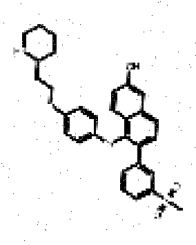 CS(=O)(=O)c1cccc(-c2ccc3cc(O)ccc3c2Oc2ccc(OCCC3CCCCN3)cc2)c1